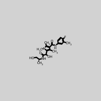 Cc1cc(NC(=O)c2c(C)c(C(O)C(=O)N[C@@H](C)CO)n(C)c2C)ccc1F